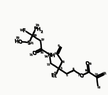 C=CCC(CC)(CCOC(=O)C(=C)C)CNC(=O)CC(F)(P)SO